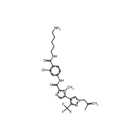 C=C(F)Cn1cc(-c2cnc(C(=O)Nc3ccc(C(=O)NCCCCCN)c(Cl)c3)n2C)c(C(F)(F)F)n1